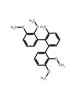 COc1cccc(-c2cccc(P)c2-c2cccc(OC)c2OC)c1OC